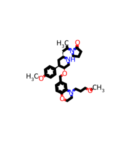 COCCCN1CCOc2ccc(CO[C@H]3CN[C@@H](CC(C)N4CCCC4=O)C[C@@H]3c3ccc(OC)cc3)cc21